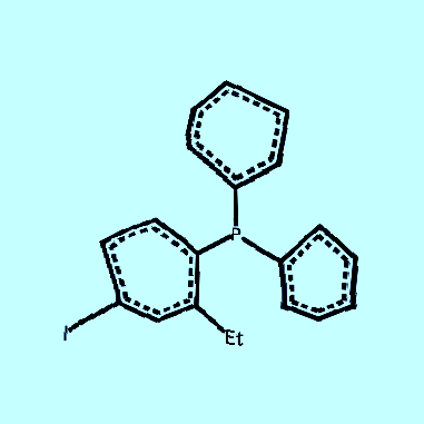 CCc1cc(I)ccc1P(c1ccccc1)c1ccccc1